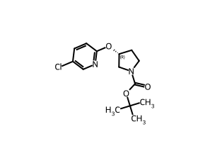 CC(C)(C)OC(=O)N1CC[C@@H](Oc2ccc(Cl)cn2)C1